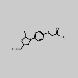 CC(=O)CSc1ccc(N2CC(CO)OC2=O)cc1